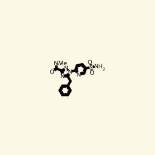 CNC(=O)c1nc(Cc2ccccc2)n(-c2ccc(S(N)(=O)=O)cn2)n1